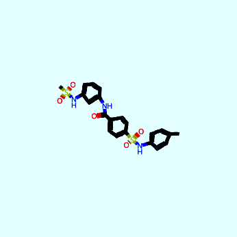 Cc1ccc(NS(=O)(=O)c2ccc(C(=O)Nc3cccc(NS(C)(=O)=O)c3)cc2)cc1